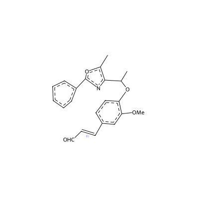 COc1cc(/C=C/C=O)ccc1OC(C)c1nc(-c2ccccc2)oc1C